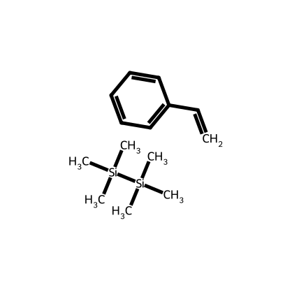 C=Cc1ccccc1.C[Si](C)(C)[Si](C)(C)C